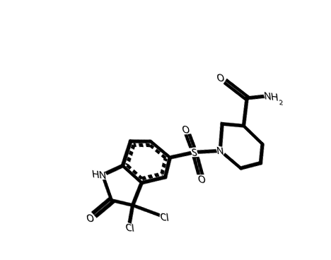 NC(=O)C1CCCN(S(=O)(=O)c2ccc3c(c2)C(Cl)(Cl)C(=O)N3)C1